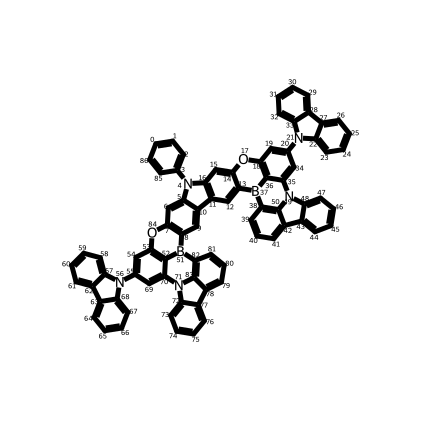 c1ccc(-n2c3cc4c(cc3c3cc5c(cc32)Oc2cc(-n3c6ccccc6c6ccccc63)cc3c2B5c2cccc5c6ccccc6n-3c25)B2c3c(cc(-n5c6ccccc6c6ccccc65)cc3-n3c5ccccc5c5cccc2c53)O4)cc1